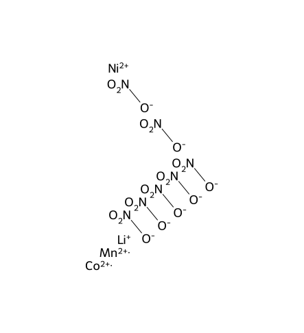 O=[N+]([O-])[O-].O=[N+]([O-])[O-].O=[N+]([O-])[O-].O=[N+]([O-])[O-].O=[N+]([O-])[O-].O=[N+]([O-])[O-].O=[N+]([O-])[O-].[Co+2].[Li+].[Mn+2].[Ni+2]